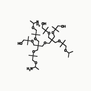 CC(C)OCC(C)(C)OCC(COCC(COC(C)(C)CO)(COC(C)(C)COC(C)N)COC(C)(C)COC(C)N)(COC(C)(C)CO)COC(C)(C)CO